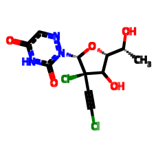 C[C@@H](O)[C@H]1O[C@@H](n2ncc(=O)[nH]c2=O)[C@@](Cl)(C#CCl)C1O